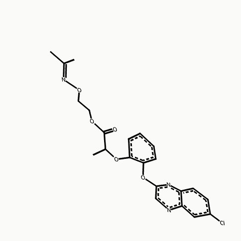 CC(C)=NOCCOC(=O)C(C)Oc1ccccc1Oc1cnc2cc(Cl)ccc2n1